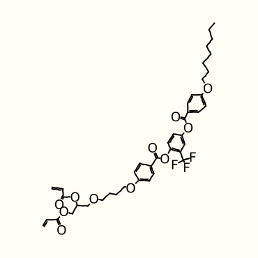 C=CC(=O)OCC(COCCCCOc1ccc(C(=O)Oc2ccc(OC(=O)c3ccc(OCCCCCCCC)cc3)cc2C(F)(F)F)cc1)OC(=O)C=C